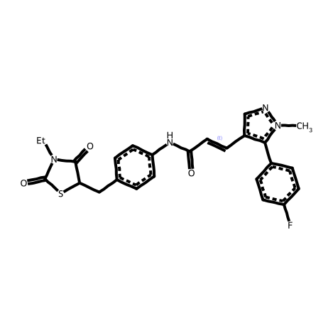 CCN1C(=O)SC(Cc2ccc(NC(=O)/C=C/c3cnn(C)c3-c3ccc(F)cc3)cc2)C1=O